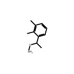 Cc1cccc(C(C)O[SiH3])c1C